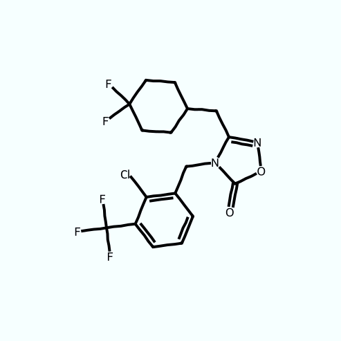 O=c1onc(CC2CCC(F)(F)CC2)n1Cc1cccc(C(F)(F)F)c1Cl